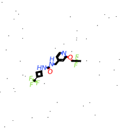 CC(F)(F)COc1cc(CNC(=O)N[C@H]2C[C@H](C(F)(F)F)C2)ccn1